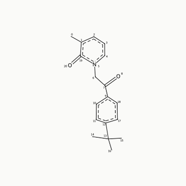 Cc1cccn(CC(=O)c2ccc(C(C)(C)C)cc2)c1=O